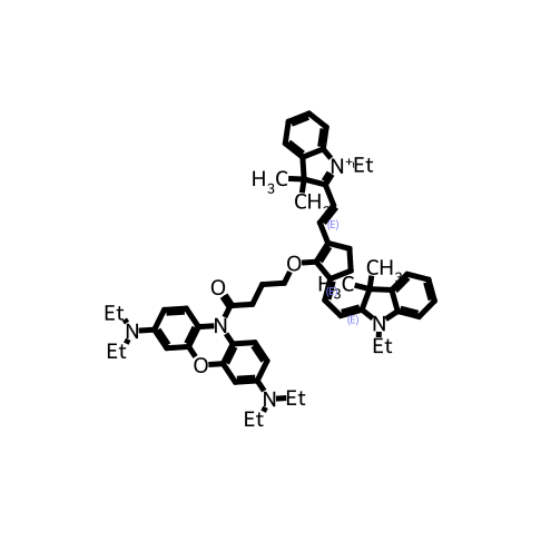 CCN(CC)c1ccc2c(c1)Oc1cc(N(CC)CC)ccc1N2C(=O)CCCOC1=C(/C=C/C2=[N+](CC)c3ccccc3C2(C)C)CC/C1=C\C=C1\N(CC)c2ccccc2C1(C)C